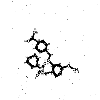 COc1ccc(NS(=O)(=O)c2ccccc2)c(OCc2ccc(C(=O)O)cc2)c1